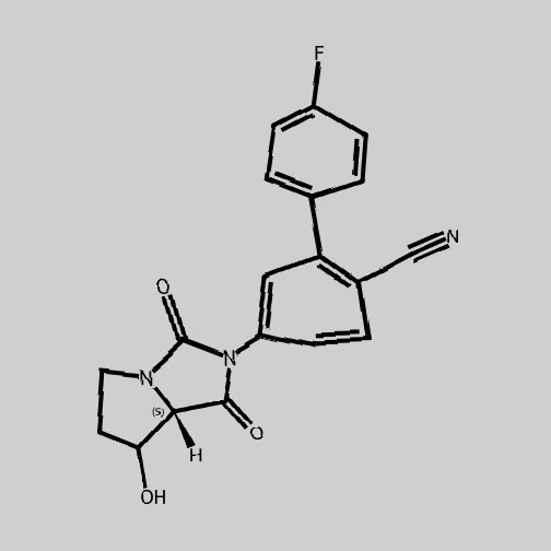 N#Cc1ccc(N2C(=O)[C@@H]3C(O)CCN3C2=O)cc1-c1ccc(F)cc1